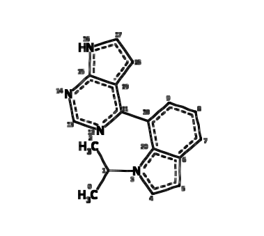 CC(C)n1ccc2cccc(-c3ncnc4[nH]ccc34)c21